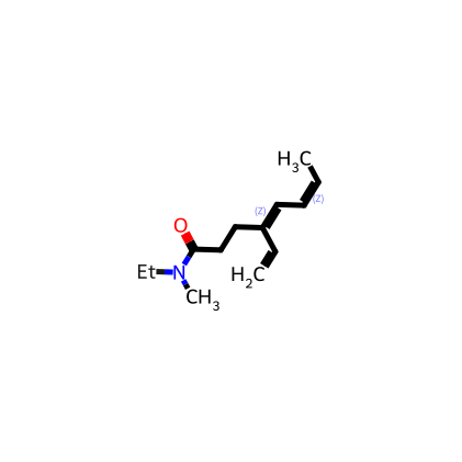 C=C/C(=C\C=C/C)CCC(=O)N(C)CC